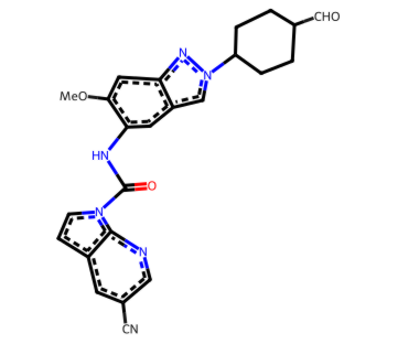 COc1cc2nn(C3CCC(C=O)CC3)cc2cc1NC(=O)n1ccc2cc(C#N)cnc21